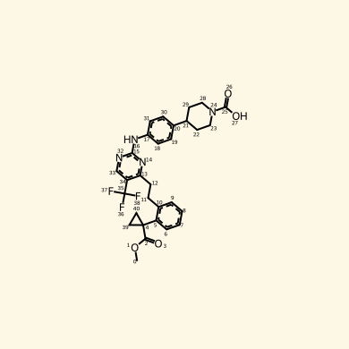 COC(=O)C1(c2ccccc2CCc2nc(Nc3ccc(C4CCN(C(=O)O)CC4)cc3)ncc2C(F)(F)F)CC1